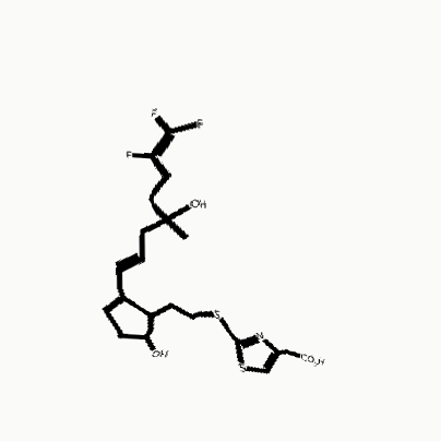 CC(O)(C/C=C/C1CCC(O)C1CCSc1nc(C(=O)O)cs1)CCC(F)=C(F)F